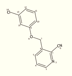 N#Cc1ncccc1COc1cccc(Cl)c1